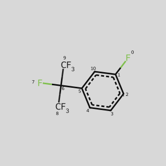 Fc1[c]ccc(C(F)(C(F)(F)F)C(F)(F)F)c1